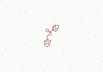 O=C(OCC1CC2CC(C1)O2)C1CC2CC(C1)O2